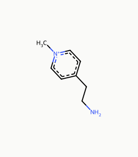 C[n+]1ccc(CCN)cc1